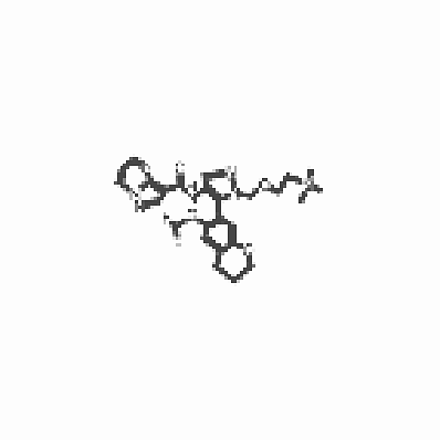 C[Si](C)(C)CCOCn1ncc(NC(=O)c2cnn3cccnc23)c1-c1cc2c(cc1OC(F)F)CCCO2